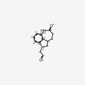 O=CCN1CC2CCC(=O)Nc3cccc1c32